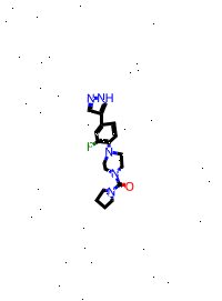 O=C(N1CCCC1)N1CCN(c2ccc(-c3cn[nH]c3)cc2F)CC1